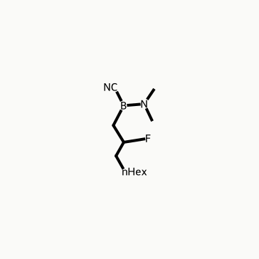 CCCCCCCC(F)CB(C#N)N(C)C